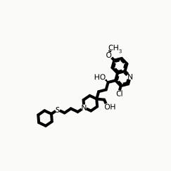 COc1ccc2ncc(Cl)c([C@H](O)CCC3(CO)CCN(CCCSC4CCCCC4)CC3)c2c1